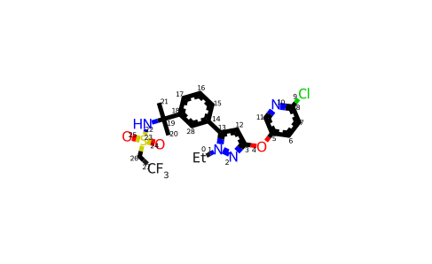 CCn1nc(Oc2ccc(Cl)nc2)cc1-c1cccc(C(C)(C)NS(=O)(=O)CC(F)(F)F)c1